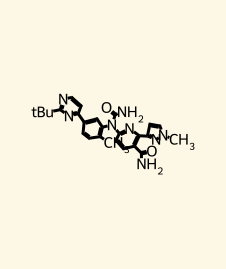 Cc1ccc(-c2ccnc(C(C)(C)C)n2)cc1N(C(N)=O)c1ccc(C(N)=O)c(-c2ccn(C)n2)n1